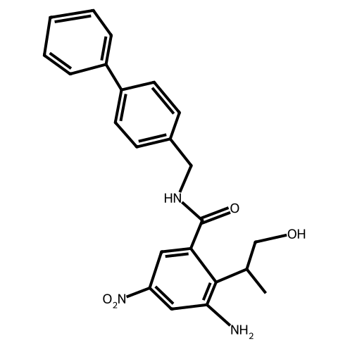 CC(CO)c1c(N)cc([N+](=O)[O-])cc1C(=O)NCc1ccc(-c2ccccc2)cc1